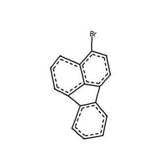 Brc1ccc2c3c(cccc13)-c1ccccc1-2